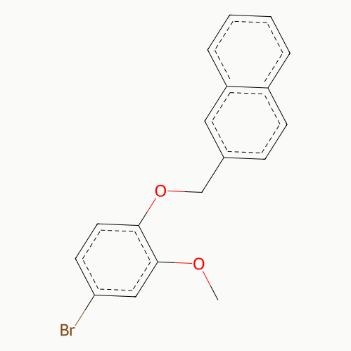 COc1cc(Br)ccc1OCc1ccc2ccccc2c1